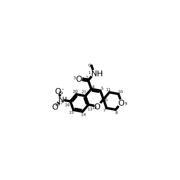 CNC(=O)C1=CC2(CCOCC2)Oc2ccc([N+](=O)[O-])cc21